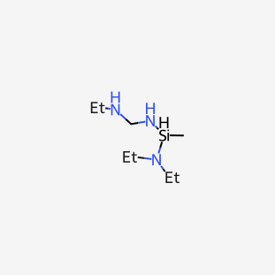 CCNCN[SiH](C)N(CC)CC